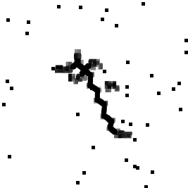 CCCCCCCCCCCCCCCCCCC(C)(C)C(=O)OC.N